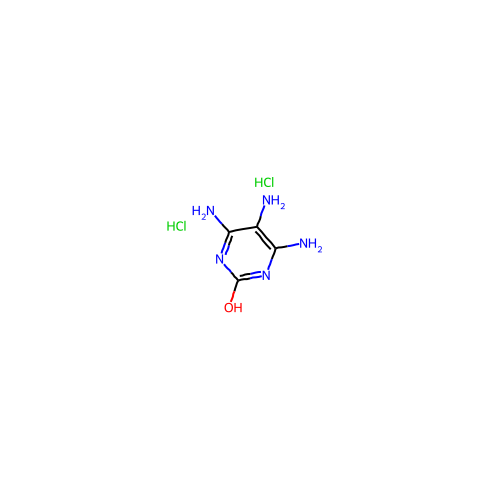 Cl.Cl.Nc1nc(O)nc(N)c1N